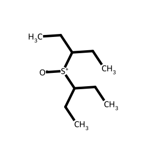 CCC(CC)[S+]([O-])C(CC)CC